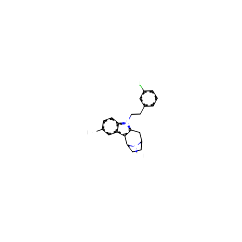 Cc1ccc2c(c1)c1c(n2CCc2cccc(Cl)c2)CC2CCC1N2C